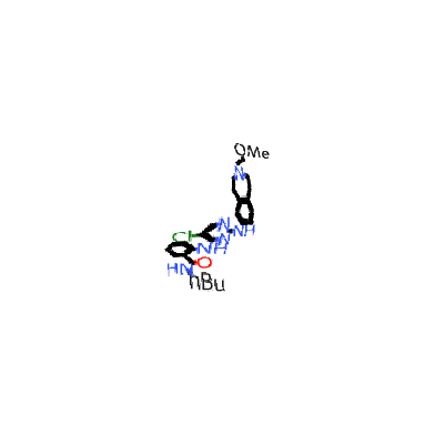 CCCCNC(=O)c1ccccc1Nc1nc(Nc2ccc3c(c2)CCN(CCOC)CC3)ncc1Cl